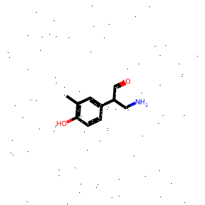 Cc1cc(C(C=O)CN)ccc1O